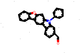 O=Cc1ccc2c3cc4c(cc3n(-c3ccccc3)c2c1)oc1ccccc14